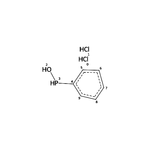 Cl.Cl.OPc1ccccc1